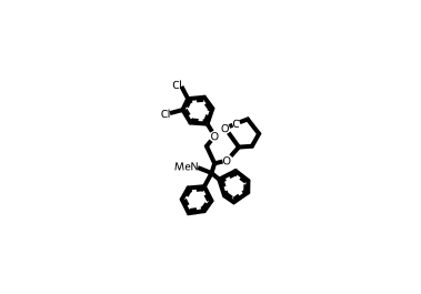 CNC(c1ccccc1)(c1ccccc1)C(COc1ccc(Cl)c(Cl)c1)OC1CCCCO1